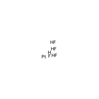 F.F.F.F.[Pt]